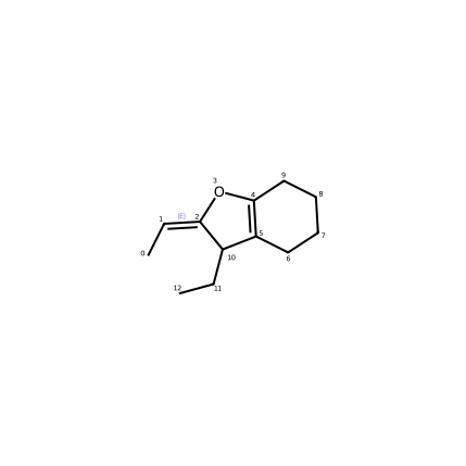 C/C=C1/OC2=C(CCCC2)C1CC